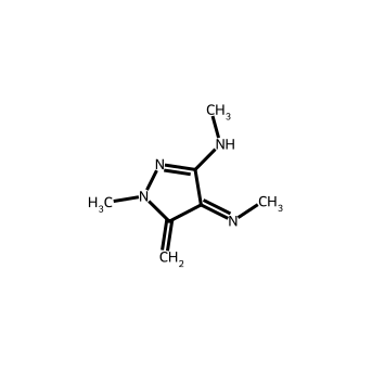 C=C1/C(=N/C)C(NC)=NN1C